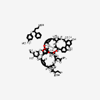 CNCCC(Oc1ccc(C(F)(F)F)cc1)c1ccccc1.CN[C@H](CC(C)C)C(=O)N[C@H]1C(=O)N[C@@H](CC(N)=O)C(=O)N[C@H]2C(=O)N[C@H]3C(=O)N[C@H](C(=O)N[C@@H](C(=O)O)c4cc(O)cc(O)c4-c4cc3ccc4O)[C@H](O)c3ccc(c(Cl)c3)Oc3cc2cc(c3O[C@@H]2O[C@H](CO)[C@@H](O)[C@H](O)[C@H]2O[C@H]2C[C@](C)(N)C(O)[C@H](C)O2)Oc2ccc(cc2Cl)[C@H]1O.Cl